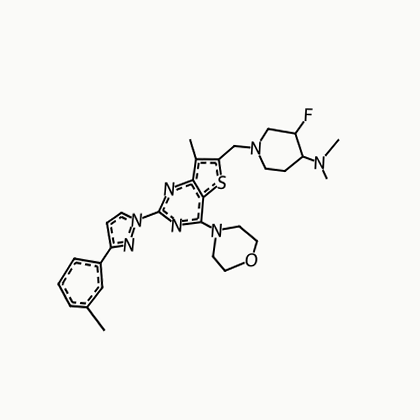 Cc1cccc(-c2ccn(-c3nc(N4CCOCC4)c4sc(CN5CCC(N(C)C)C(F)C5)c(C)c4n3)n2)c1